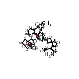 CCN(c1nc(OCC23CCC(CN(C)C2)N3C)nc(N2CC3(C2)SCc2sc(N)c(C#N)c23)n1)[C@H](C)c1cccnc1N